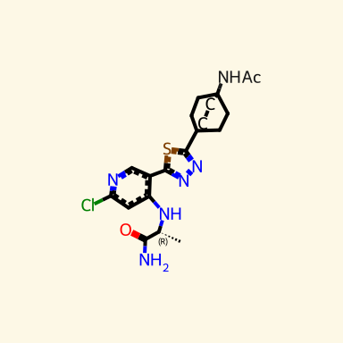 CC(=O)NC12CCC(c3nnc(-c4cnc(Cl)cc4N[C@H](C)C(N)=O)s3)(CC1)CC2